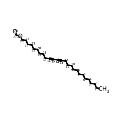 CCCCCCCCCCCCCC#CC#CCCCCCCCCCOC=O